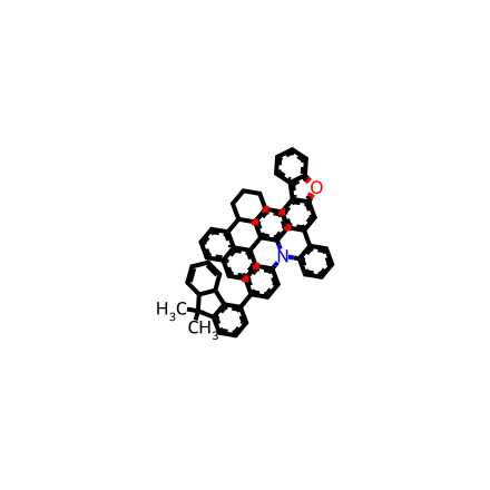 CC1(C)c2cccc(-c3ccc(N(c4ccccc4-c4ccc5c(c4)oc4ccccc45)c4ccccc4-c4cccc5cccc(C6CCCCC6)c45)cc3)c2C2C=CC=CC21